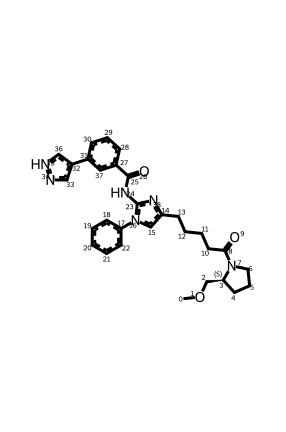 COC[C@@H]1CCCN1C(=O)CCCCc1cn(-c2ccccc2)c(NC(=O)c2cccc(-c3cn[nH]c3)c2)n1